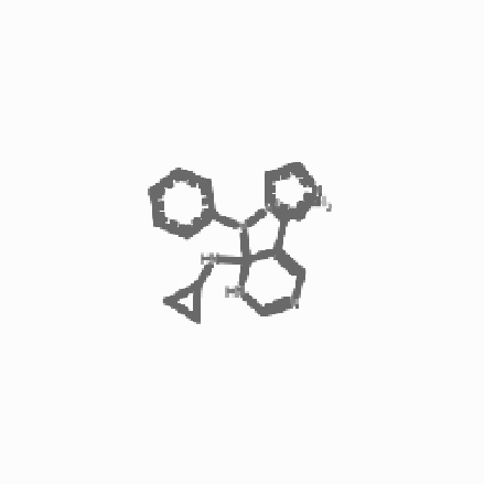 NC(=O)C1=CN=CNC1(NC1CC1)N(c1ccccc1)n1ccnc1